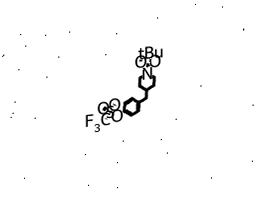 CC(C)(C)OC(=O)N1CCC(Cc2ccc(OS(=O)(=O)C(F)(F)F)cc2)CC1